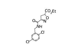 CCOC(=O)C1CC(C(=O)NCc2cc(Cl)ccc2Cl)=NO1